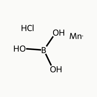 Cl.OB(O)O.[Mn]